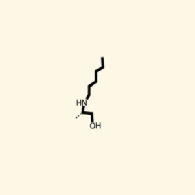 CCCCCCN[C@@H](C)CO